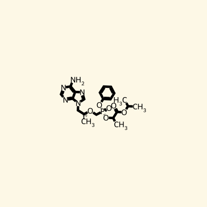 CC(C)OC(=O)C(C)OP(=O)(CO[C@H](C)Cn1cnc2c(N)ncnc21)Oc1ccccc1